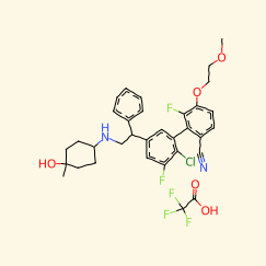 COCCOc1ccc(C#N)c(-c2cc(C(CNC3CCC(C)(O)CC3)c3ccccc3)cc(F)c2Cl)c1F.O=C(O)C(F)(F)F